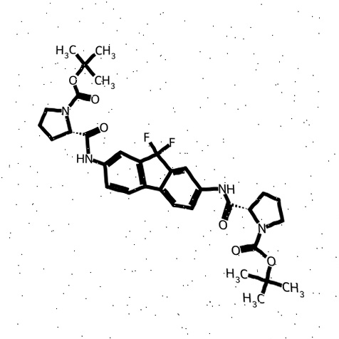 CC(C)(C)OC(=O)N1CCC[C@H]1C(=O)Nc1ccc2c(c1)C(F)(F)c1cc(NC(=O)[C@@H]3CCCN3C(=O)OC(C)(C)C)ccc1-2